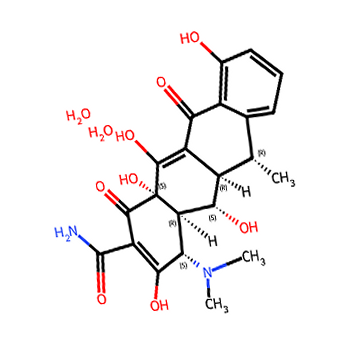 C[C@H]1c2cccc(O)c2C(=O)C2=C(O)[C@]3(O)C(=O)C(C(N)=O)=C(O)[C@@H](N(C)C)[C@@H]3[C@@H](O)[C@@H]21.O.O